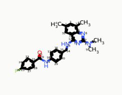 Cc1cc(C)c2nc(N(C)C)nc(NCc3ccc(NC(=O)c4ccc(F)cc4)cc3)c2c1